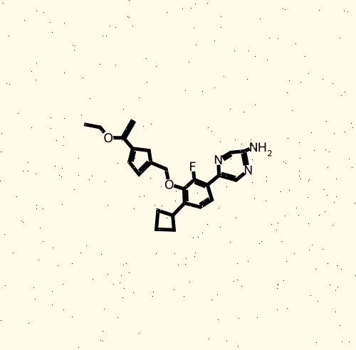 C=C(OCC)C1=CC=C(COc2c(C3CCC3)ccc(-c3cnc(N)cn3)c2F)C1